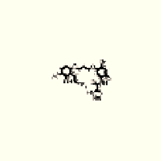 CC(=O)c1ccc(OCCCOc2cc(NC(=O)c3nnn[nH]3)c(C)cc2Br)c(CCC(F)(F)F)c1O